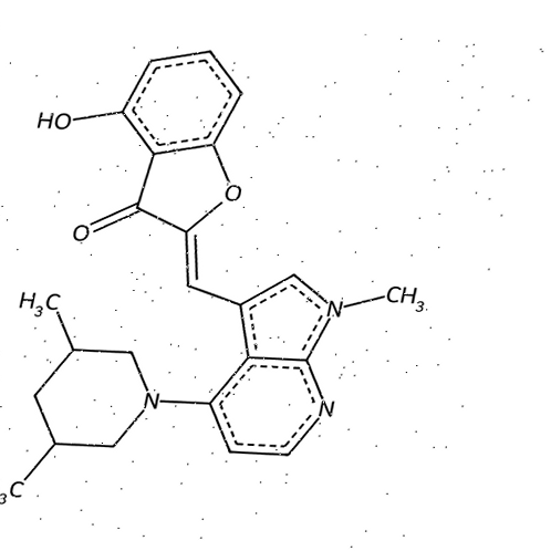 CC1CC(C)CN(c2ccnc3c2c(/C=C2\Oc4cccc(O)c4C2=O)cn3C)C1